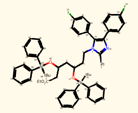 CCOC(=O)CC(CC(CCn1c(C(C)C)nc(-c2ccc(F)cc2)c1-c1ccc(F)cc1)O[Si](c1ccccc1)(c1ccccc1)C(C)(C)C)O[Si](c1ccccc1)(c1ccccc1)C(C)(C)C